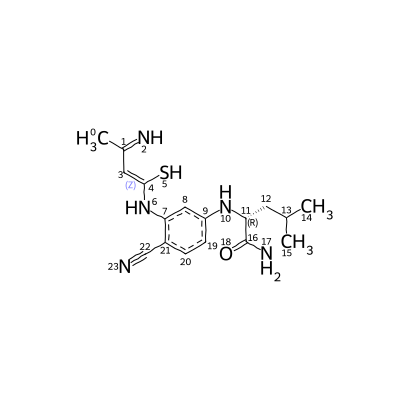 CC(=N)/C=C(\S)Nc1cc(N[C@H](CC(C)C)C(N)=O)ccc1C#N